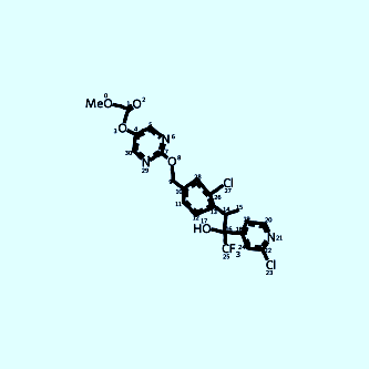 COC(=O)Oc1cnc(OCc2ccc(C(C)C(O)(c3ccnc(Cl)c3)C(F)(F)F)c(Cl)c2)nc1